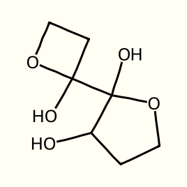 OC1CCOC1(O)C1(O)CCO1